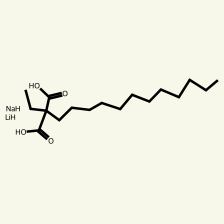 CCCCCCCCCCCCC(CC)(C(=O)O)C(=O)O.[LiH].[NaH]